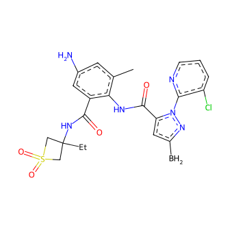 Bc1cc(C(=O)Nc2c(C)cc(N)cc2C(=O)NC2(CC)CS(=O)(=O)C2)n(-c2ncccc2Cl)n1